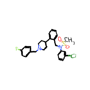 CS(=O)(=O)N(Cc1ccccc1C1CCN(Cc2ccc(F)cc2)CC1)c1cccc(Cl)c1